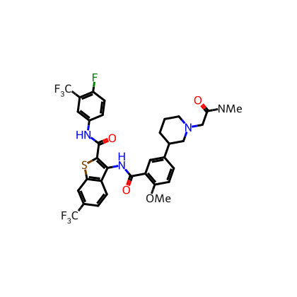 CNC(=O)CN1CCCC(c2ccc(OC)c(C(=O)Nc3c(C(=O)Nc4ccc(F)c(C(F)(F)F)c4)sc4cc(C(F)(F)F)ccc34)c2)C1